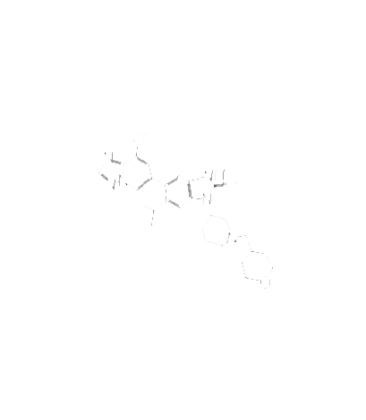 COc1cc(-c2cc3[nH]c(=O)n([C@H]4CCCN(CC5CCOCC5)C4)c3cc2C(C)C)cn2ncnc12